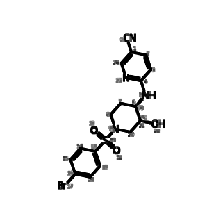 N#Cc1ccc(N[C@@H]2CCN(S(=O)(=O)c3ccc(Br)cc3)C[C@@H]2O)nc1